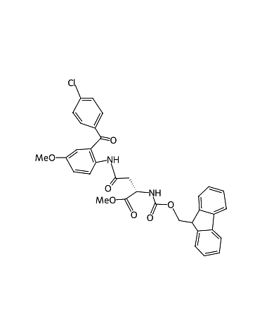 COC(=O)[C@H](CC(=O)Nc1ccc(OC)cc1C(=O)c1ccc(Cl)cc1)NC(=O)OCC1c2ccccc2-c2ccccc21